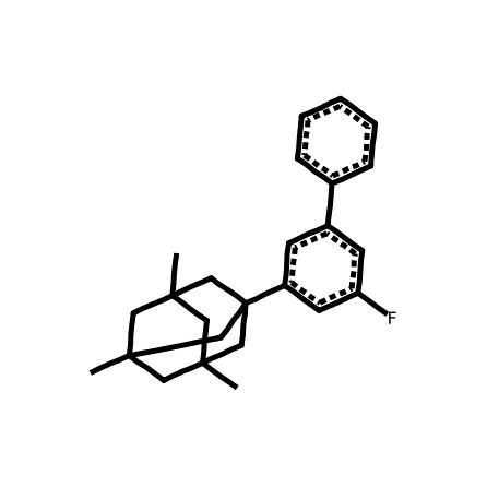 CC12CC3(C)CC(C)(C1)CC(c1cc(F)cc(-c4ccccc4)c1)(C2)C3